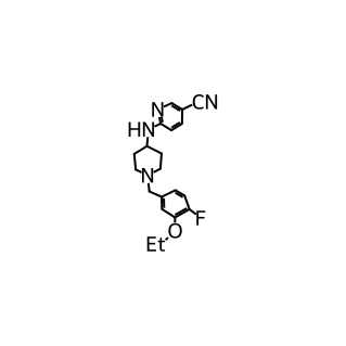 CCOc1cc(CN2CCC(Nc3ccc(C#N)cn3)CC2)ccc1F